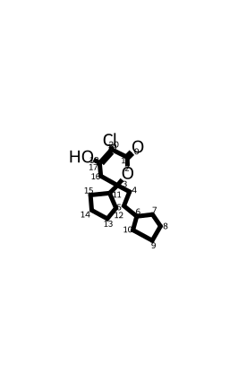 O=C1OC(CCC2CCCC2)(C2CCCC2)CC(O)=C1Cl